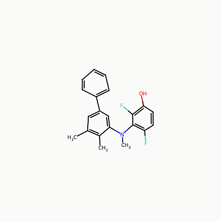 Cc1cc(-c2ccccc2)cc(N(C)c2c(F)ccc(O)c2F)c1C